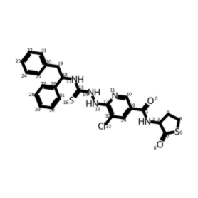 O=C(NC1CCSC1=O)c1cnc(NNC(=S)NC(Cc2ccccc2)c2ccccc2)c(Cl)c1